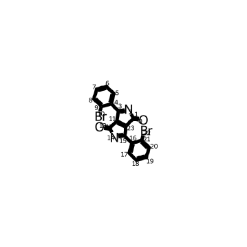 O=c1nc(-c2ccccc2Br)c2c(=O)nc(-c3ccccc3Br)c1=2